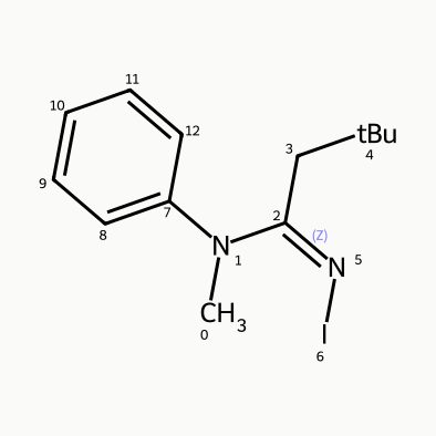 CN(/C(CC(C)(C)C)=N\I)c1ccccc1